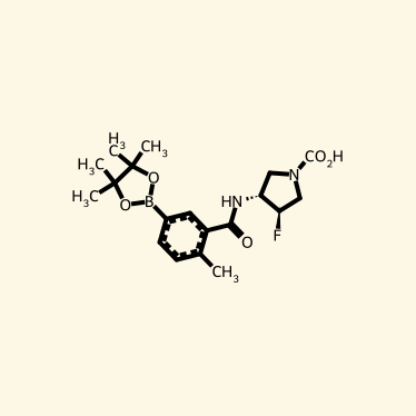 Cc1ccc(B2OC(C)(C)C(C)(C)O2)cc1C(=O)N[C@@H]1CN(C(=O)O)C[C@H]1F